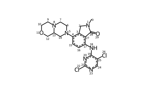 CN1Cc2c(N3CCN4CCOCC4C3)ccc(Nc3nc(Cl)ncc3Cl)c2C1=O